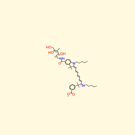 CCCCC\N=C(/C=C/C=C/C=C/C=C1/N(CCCCC)c2ccc(C(=O)NC[C@H](C)[C@@H](O)[C@H](C)[C@H](O)CO)cc2C1(C)C)C(C)(C)c1cccc(C(=O)OC)c1